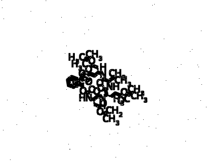 C=C(C)OC(=O)C[C@H](NC(=O)OCc1ccccc1)C(=O)N[C@@H](CCC(=O)OC(C)(C)C)C(=O)N[C@H](C(=O)N[C@H](/C=C/S(C)(=O)=O)CC(=O)OC(C)(C)C)C(C)C